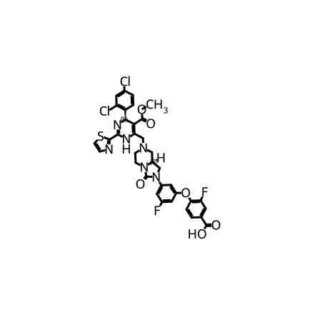 COC(=O)C1=C(CN2CCN3C(=O)N(c4cc(F)cc(Oc5ccc(C(=O)O)cc5F)c4)C[C@@H]3C2)NC(c2nccs2)=N[C@H]1c1ccc(Cl)cc1Cl